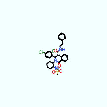 CS(=O)(=O)N[C@H]1CCCC[C@@H]1N1C(=O)c2ccccc2[C@@H](C(=O)NCCc2cc[c]cc2)[C@@H]1c1ccc(Cl)cc1Cl